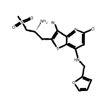 CS(=O)(=O)C[C@H](N)Cc1sc2c(NCc3ccco3)cc(Cl)nc2c1Br